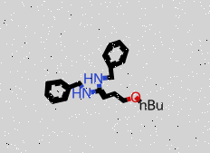 CCCCOCCC=C(NCc1ccccc1)NCc1ccccc1